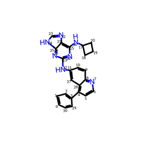 c1ccc(-c2ccnc3ccc(Nc4nc(NC5CCC5)c5nc[nH]c5n4)cc23)cc1